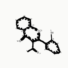 CC(=O)c1c(-c2ccccc2O)oc2ccccc2c1=O